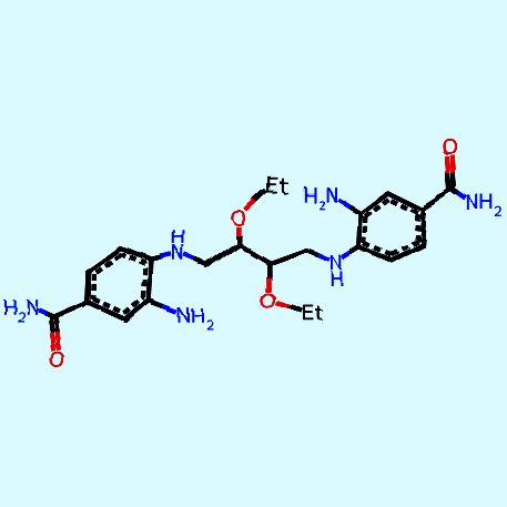 CCOC(CNc1ccc(C(N)=O)cc1N)C(CNc1ccc(C(N)=O)cc1N)OCC